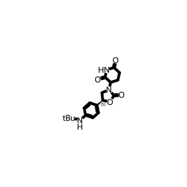 CC(C)(C)Nc1ccc([C@H]2CN(C3CCC(=O)NC3=O)C(=O)O2)cc1